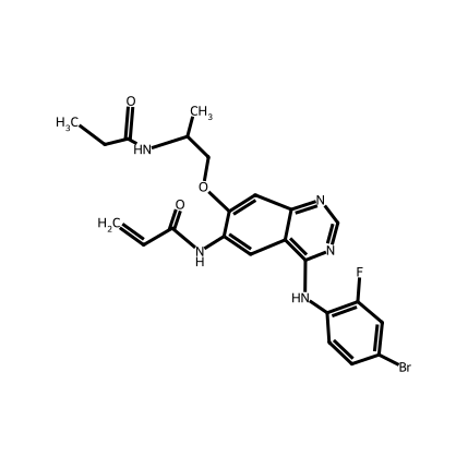 C=CC(=O)Nc1cc2c(Nc3ccc(Br)cc3F)ncnc2cc1OCC(C)NC(=O)CC